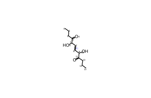 CCCC(=O)C(O)/C=C/C(O)C(=O)CCC